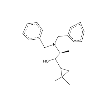 C[C@@H](C(O)C1CC1(C)C)N(Cc1ccccc1)Cc1ccccc1